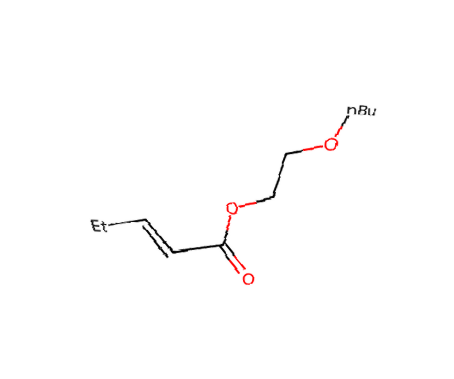 CCC=CC(=O)OCCOCCCC